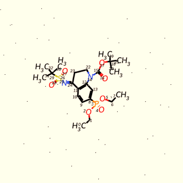 CCOP(=O)(OCC)c1ccc2c(c1)N(C(=O)OC(C)(C)C)CCC2=NS(=O)(=O)C(C)(C)C